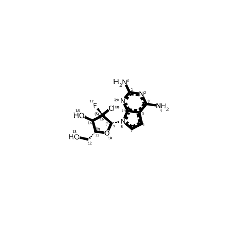 Nc1nc(N)c2ccn([C@@H]3O[C@H](CO)C(O)[C@]3(F)Cl)c2n1